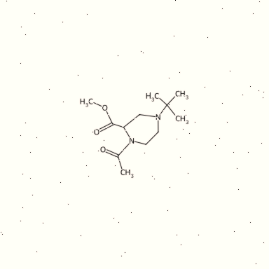 COC(=O)C1CN(C(C)(C)C)CCN1C(C)=O